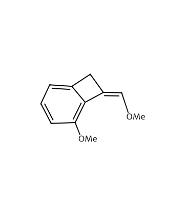 COC=C1Cc2cccc(OC)c21